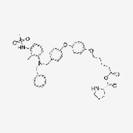 Cc1c(NS(C)(=O)=O)cccc1N(Cc1ccccc1)Cc1ccc(Oc2ccc(OCCCCC(=O)OC(=O)[C@@H]3CCCN3)cc2)cc1